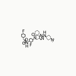 CN(C)C1CCC(Nc2ncc3c(n2)C2(CCCCC2)C(=O)N(c2ccc(NS(=O)(=O)Cc4ccc(F)cc4)c(F)c2)C3)CC1